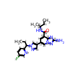 CCC(c1ccc(F)cn1)n1cc(-c2cc(C(=O)N[C@@H](C)CC)c3nc(N)nn3c2)cn1